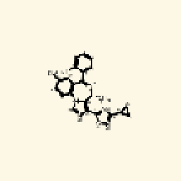 C[C@H]1N=C(c2ccccc2F)c2cc(Cl)ccc2-n2cnc(-c3nc(C4CC4)no3)c21